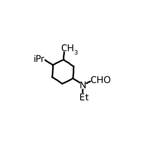 CCN(C=O)C1CCC(C(C)C)C(C)C1